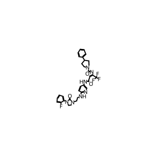 O=C(Nc1ccc(NCCN2CCN(c3ccccc3F)C2=O)nc1)c1oc(N2CCC(c3ccccc3)CC2)nc1C(F)(F)F